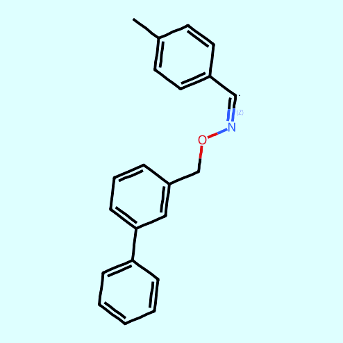 Cc1ccc(/[C]=N\OCc2cccc(-c3ccccc3)c2)cc1